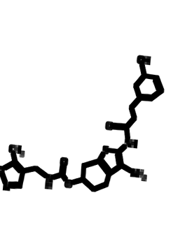 Cc1oncc1CNC(=O)OC1CCc2c(sc(NC(=O)CCC3=CC=CC(O)C3)c2N)C1